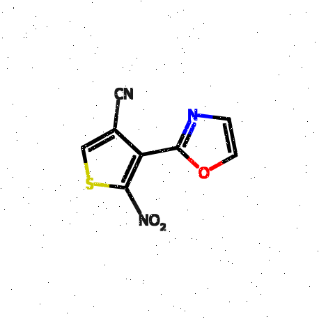 N#Cc1csc([N+](=O)[O-])c1-c1ncco1